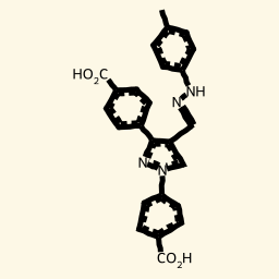 Cc1ccc(N/N=C/c2cn(-c3ccc(C(=O)O)cc3)nc2-c2ccc(C(=O)O)cc2)cc1